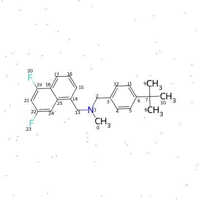 CN(Cc1ccc(C(C)(C)C)cc1)Cc1cccc2c(F)cc(F)cc12